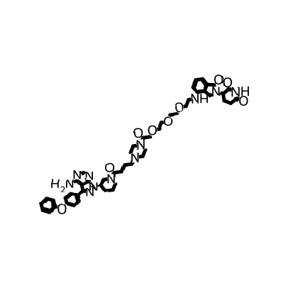 Nc1ncnc2c1c(-c1ccc(Oc3ccccc3)cc1)nn2[C@@H]1CCCN(C(=O)CCCN2CCN(C(=O)COCCOCCOCCNc3cccc4c3CN(C3CCC(=O)NC3=O)C4=O)CC2)C1